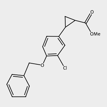 COC(=O)C1CC1c1ccc(OCc2ccccc2)c(Cl)c1